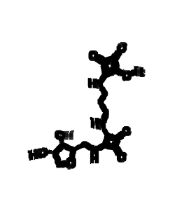 CCOc1c(NCCCNc2c(NC[C@H]3OC[C@H](O)[C@@H]3O)c(=O)c2=O)c(=O)c1=O